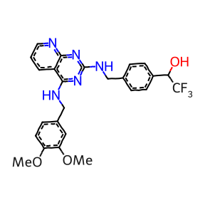 COc1ccc(CNc2nc(NCc3ccc(C(O)C(F)(F)F)cc3)nc3ncccc23)cc1OC